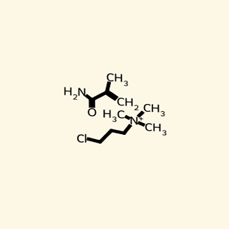 C=C(C)C(N)=O.C[N+](C)(C)CCCCl